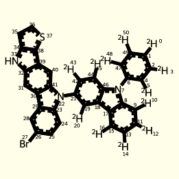 [2H]c1c([2H])c([2H])c(-n2c3c([2H])c([2H])c([2H])c([2H])c3c3c([2H])c(-n4c5ccc(Br)cc5c5cc6[nH]c7ccsc7c6cc54)c([2H])c([2H])c32)c([2H])c1[2H]